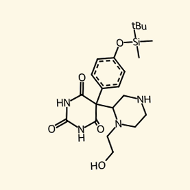 CC(C)(C)[Si](C)(C)Oc1ccc(C2(C3CNCCN3CCO)C(=O)NC(=O)NC2=O)cc1